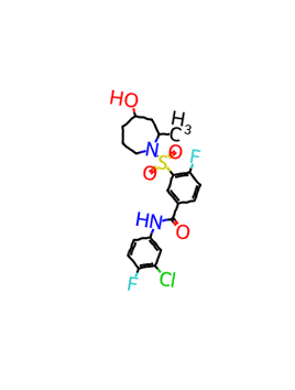 CC1CC(O)CCCN1S(=O)(=O)c1cc(C(=O)Nc2ccc(F)c(Cl)c2)ccc1F